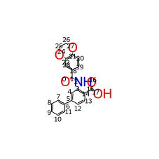 O=C(Nc1cc(-c2ccccc2)ccc1C(=O)O)c1ccc2c(c1)OCCO2